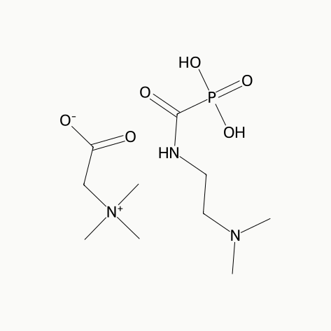 CN(C)CCNC(=O)P(=O)(O)O.C[N+](C)(C)CC(=O)[O-]